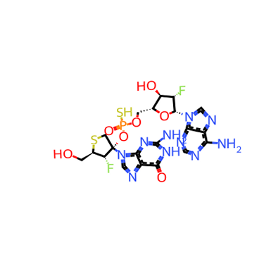 Nc1nc2c(ncn2[C@]2(OP(=O)(S)OC[C@H]3O[C@@H](n4cnc5c(N)ncnc54)[C@@H](F)[C@@H]3O)CS[C@H](CO)[C@H]2F)c(=O)[nH]1